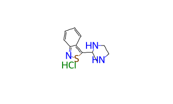 Cl.c1ccc2c(C3CNCCN3)snc2c1